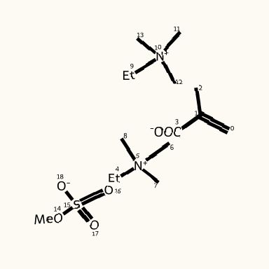 C=C(C)C(=O)[O-].CC[N+](C)(C)C.CC[N+](C)(C)C.COS(=O)(=O)[O-]